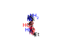 CCC(C)(C)COC(=O)[C@H](C)N[PH](=O)OC[C@H]1O[C@@H](c2ccc3c(N)ncnn23)C[C@@H]1O